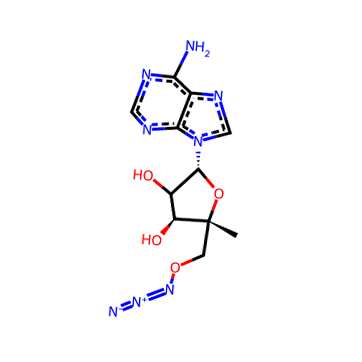 C[C@]1(CON=[N+]=[N-])O[C@@H](n2cnc3c(N)ncnc32)C(O)[C@@H]1O